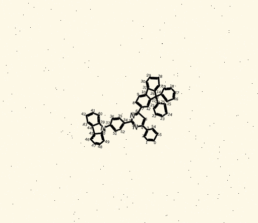 c1ccc(-c2cc(-c3ccc4c(c3)C(c3ccccc3)(c3ccccc3)c3ccccc3-4)nc(-c3ccc(-n4c5ccccc5c5ccccc54)cc3)n2)cc1